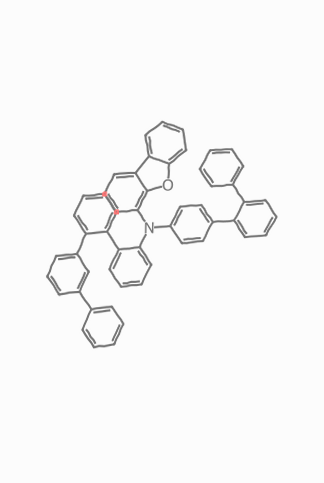 c1ccc(-c2cccc(-c3ccccc3-c3ccccc3N(c3ccc(-c4ccccc4-c4ccccc4)cc3)c3cccc4c3oc3ccccc34)c2)cc1